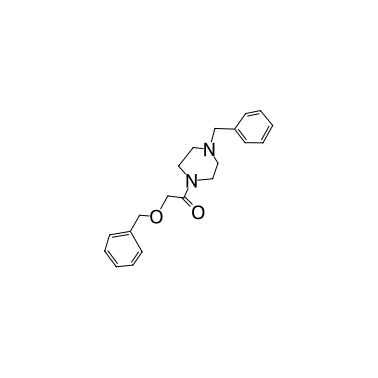 O=C(COCc1ccccc1)N1CCN(Cc2ccccc2)CC1